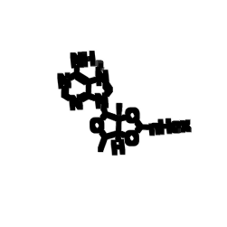 CCCCCCC1O[C@@H]2C(C)O[C@@H](n3cnc4c(N)ncnc43)[C@]2(C)O1